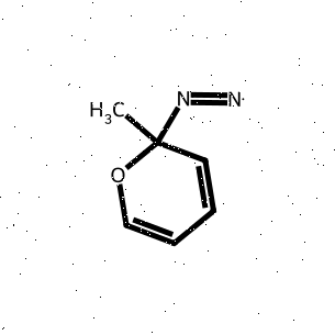 CC1(N=[N])C=CC=CO1